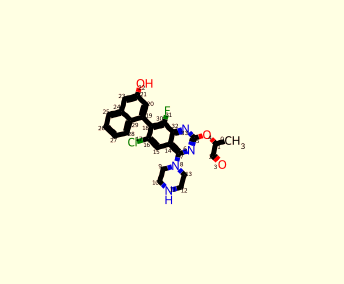 CC(C=O)Oc1nc(N2CCNCC2)c2cc(Cl)c(-c3cc(O)cc4ccccc34)c(F)c2n1